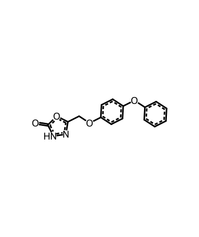 O=c1[nH]nc(COc2ccc(Oc3ccccc3)cc2)o1